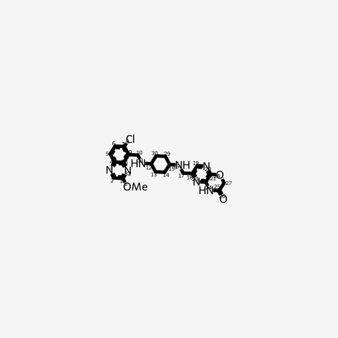 COc1cnc2ccc(Cl)c(CNC3CCC(NCc4cnc5c(n4)NC(=O)CO5)CC3)c2n1